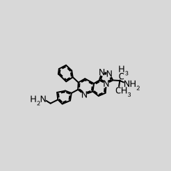 CC(C)(N)c1nnc2c3cc(-c4ccccc4)c(-c4ccc(CN)cc4)nc3ccn12